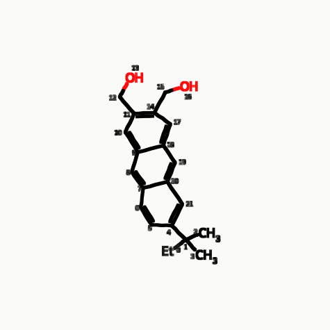 CCC(C)(C)c1ccc2cc3cc(CO)c(CO)cc3cc2c1